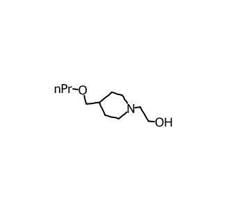 CCCOCC1CCN(CCO)CC1